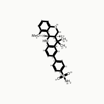 COc1cccc2c1[C@H]1Nc3ccc(-c4ccc(S(N)(=O)=O)cc4)cc3C(C)(C)[C@@H]1CO2